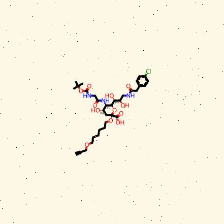 C#CCOCCCCCCO[C@]1(C(=O)O)C[C@H](O)[C@@H](NC(=O)CNC(=O)OC(C)(C)C)[C@H]([C@H](O)[C@H](O)CNC(=O)Cc2ccc(Cl)cc2)O1